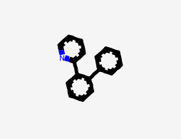 [c]1ccc(-c2ccccn2)c(-c2ccccc2)c1